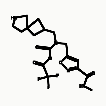 CNC(=O)c1cc(CN(CC2CC3(CCNC3)C2)C(=O)OC(=O)C(F)(F)F)on1